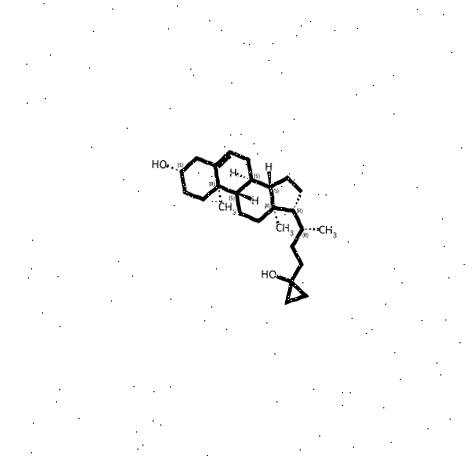 C[C@H](CCC1(O)CC1)[C@H]1CC[C@H]2[C@@H]3CC=C4C[C@@H](O)CC[C@]4(C)[C@H]3CC[C@]12C